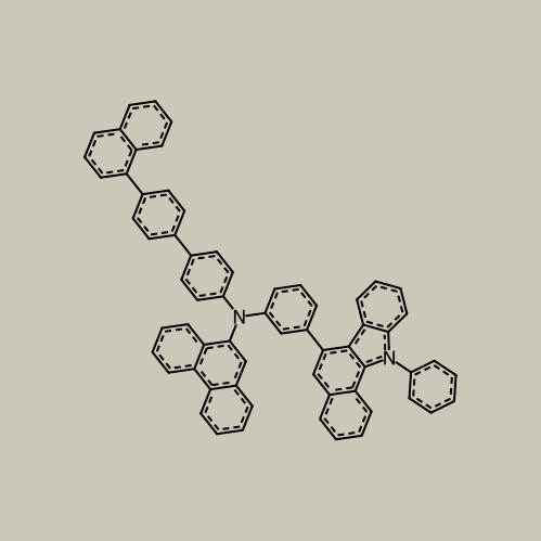 c1ccc(-n2c3ccccc3c3c(-c4cccc(N(c5ccc(-c6ccc(-c7cccc8ccccc78)cc6)cc5)c5cc6ccccc6c6ccccc56)c4)cc4ccccc4c32)cc1